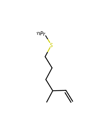 C=CC(C)CCCS[CH]CC